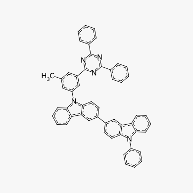 Cc1cc(-c2nc(-c3ccccc3)nc(-c3ccccc3)n2)cc(-n2c3ccccc3c3cc(-c4ccc5c(c4)c4ccccc4n5-c4ccccc4)ccc32)c1